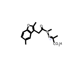 C/C(=N\N(C)C(=O)Cc1c(C)oc2ccc(C)cc12)C(=O)O